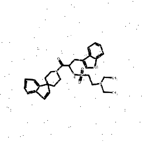 CCN(CC)CCS(=O)(=O)NC(Cc1c[nH]c2ccccc12)C(=O)N1CCC2(C=Cc3ccccc32)CC1